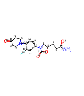 NC(=O)CCC1CN(c2ccc(N3CCC(=O)CC3)c(F)c2)C(=O)O1